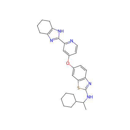 CC(Nc1nc2ccc(Oc3ccnc(-c4nc5c([nH]4)CCCC5)c3)cc2s1)C1CCCCC1